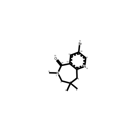 CN1CC(C)(C)Cc2ncc(Br)cc2C1=O